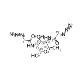 C[C@H]1O[C@H](O)[C@H](NC(=O)CN=[N+]=[N-])[C@@H](O)[C@@H]1NC(=O)CN=[N+]=[N-]